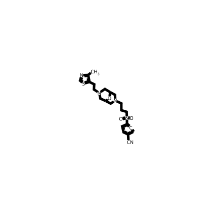 Cc1ncsc1CCN1CC2CN(CCCS(=O)(=O)c3ccc(C#N)cc3)CC(C1)O2